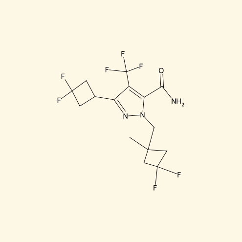 CC1(Cn2nc(C3CC(F)(F)C3)c(C(F)(F)F)c2C(N)=O)CC(F)(F)C1